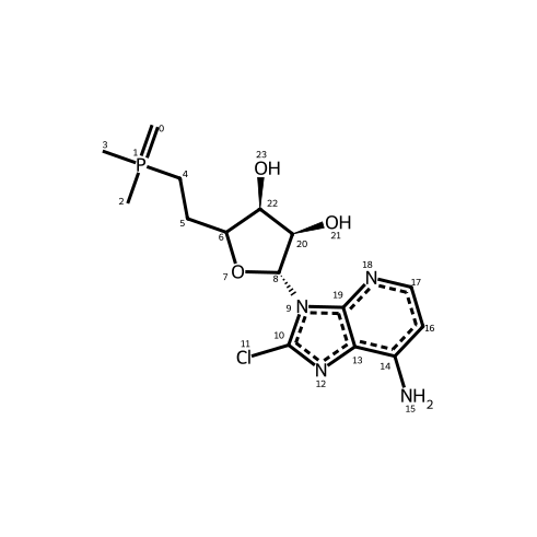 C=P(C)(C)CCC1O[C@@H](n2c(Cl)nc3c(N)ccnc32)[C@H](O)[C@@H]1O